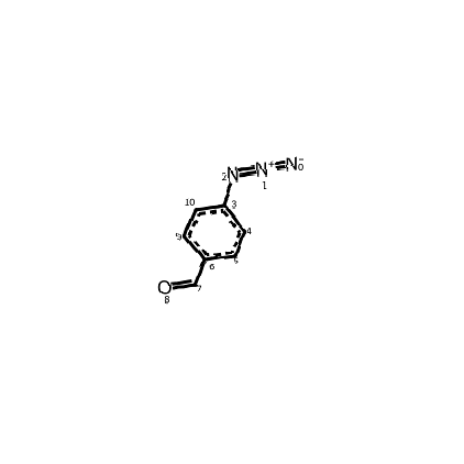 [N-]=[N+]=Nc1ccc(C=O)cc1